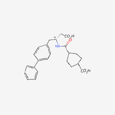 O=C(O)C[C@@H](Cc1ccc(-c2ccccc2)cc1)NC(=O)C1CCC(C(=O)O)CC1